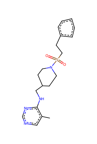 Cc1cncnc1NCC1CCN(S(=O)(=O)CCc2ccccc2)CC1